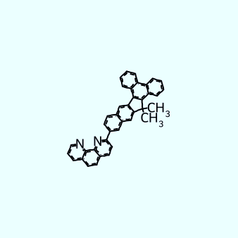 CC1(C)c2cc3cc(-c4ccc5ccc6cccnc6c5n4)ccc3cc2-c2c1c1ccccc1c1ccccc21